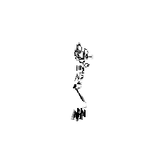 [N-]=[N+]=NCCC#Cc1ccc(-c2ncc(CNC(=O)c3ccc4c(c3)NC(=O)c3ccccc3S4(=O)=O)s2)cc1